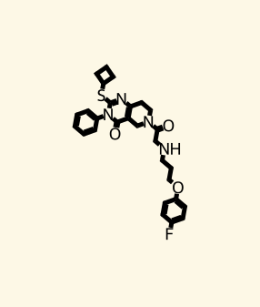 O=C(CNCCCOc1ccc(F)cc1)N1CCc2nc(SC3CCC3)n(-c3ccccc3)c(=O)c2C1